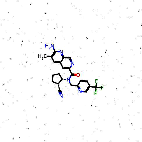 Cc1cc2cc(C(=O)N(Cc3ccc(C(F)(F)F)cn3)[C@H]3CCC[C@@H]3C#N)ncc2nc1N